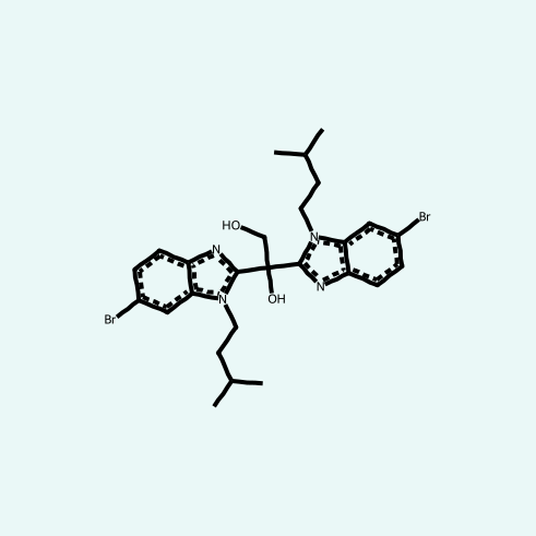 CC(C)CCn1c(C(O)(CO)c2nc3ccc(Br)cc3n2CCC(C)C)nc2ccc(Br)cc21